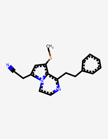 CSc1cc(CC#N)n2ccnc(CCc3ccccc3)c12